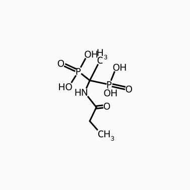 CCC(=O)NC(C)(P(=O)(O)O)P(=O)(O)O